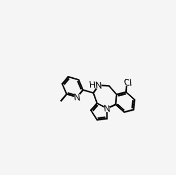 Cc1cccc(C2NCc3c(Cl)cccc3-n3cccc32)n1